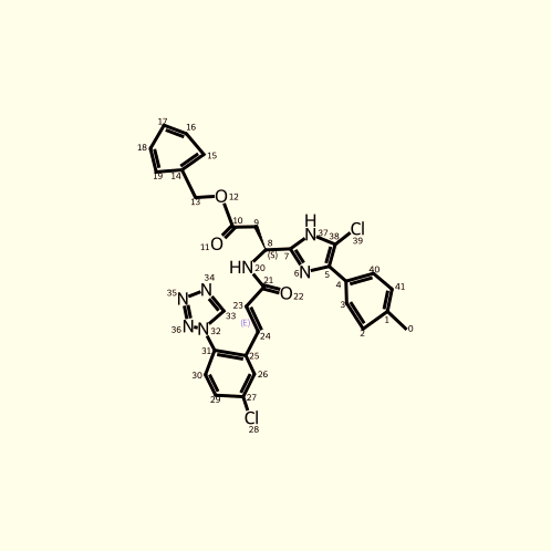 Cc1ccc(-c2nc([C@H](CC(=O)OCc3ccccc3)NC(=O)/C=C/c3cc(Cl)ccc3-n3cnnn3)[nH]c2Cl)cc1